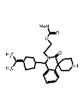 CNC(=O)OCCN1C(=O)C2(CCNCC2)c2ccccc2C1C1CCC(=C(C)C)CC1